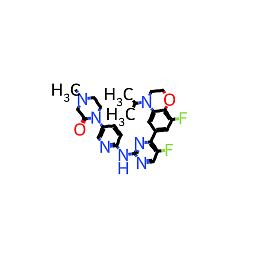 CC(C)N1CCOc2c(F)cc(-c3nc(Nc4ccc(N5CCN(C)CC5=O)cn4)ncc3F)cc21